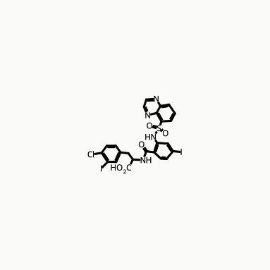 O=C(NC(Cc1ccc(Cl)c(I)c1)C(=O)O)c1ccc(I)cc1NS(=O)(=O)c1cccc2nccnc12